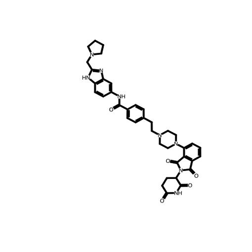 O=C1CCC(N2C(=O)c3cccc(N4CCN(CCc5ccc(C(=O)Nc6ccc7[nH]c(CN8CCCC8)nc7c6)cc5)CC4)c3C2=O)C(=O)N1